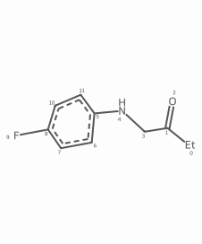 CCC(=O)CNc1ccc(F)cc1